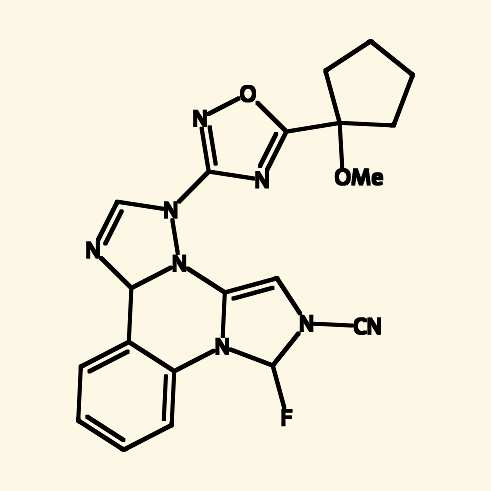 COC1(c2nc(N3C=NC4c5ccccc5N5C(=CN(C#N)C5F)N43)no2)CCCC1